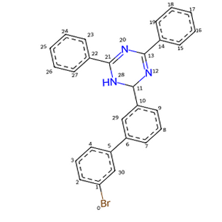 Brc1cccc(-c2cccc(C3N=C(c4ccccc4)N=C(c4ccccc4)N3)c2)c1